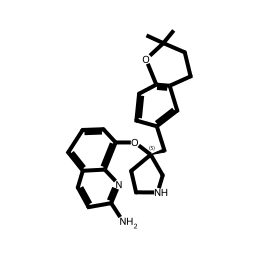 CC1(C)CCc2cc(C[C@]3(Oc4cccc5ccc(N)nc45)CCNC3)ccc2O1